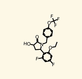 CCOc1cc(F)cc(F)c1C1CC(O)C(=O)N1Cc1ccc(OC(F)(F)F)cc1